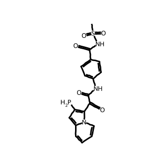 CS(=O)(=O)NC(=O)c1ccc(NC(=O)C(=O)c2c(P)cc3ccccn23)cc1